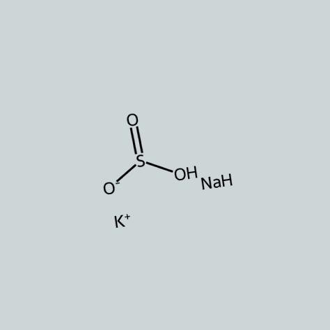 O=S([O-])O.[K+].[NaH]